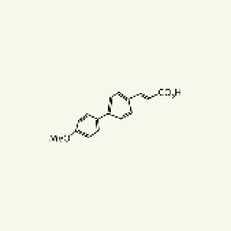 COc1ccc(-c2ccc(/C=C/C(=O)O)cc2)cc1